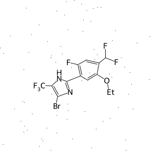 CCOc1cc(-c2nc(Br)c(C(F)(F)F)[nH]2)c(F)cc1C(F)F